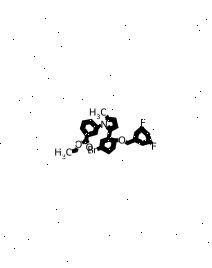 CCOC(=O)c1cccc(-n2c(C)ccc2-c2cc(Br)ccc2OCc2cc(F)cc(F)c2)c1